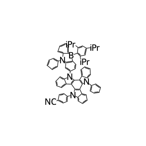 CC(C)c1cc(C(C)C)c(B2c3ccccc3N(c3ccccc3)c3cc(-n4c5ccccc5c5c6c(c7ccccc7n6-c6ccc(C#N)cc6)c6c(c7ccccc7n6-c6ccccc6)c54)ccc32)c(C(C)C)c1